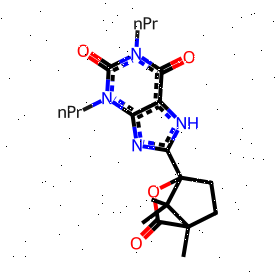 CCCn1c(=O)c2[nH]c(C34CCC(C)(C(=O)O3)C4(C)C)nc2n(CCC)c1=O